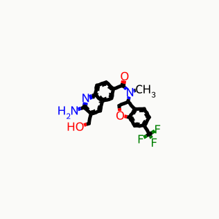 CN(C(=O)c1ccc2nc(N)c(CO)cc2c1)C1COc2cc(C(F)(F)F)ccc21